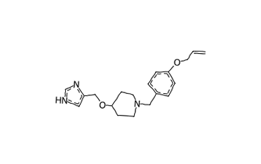 C=CCOc1ccc(CN2CCC(OCc3c[nH]cn3)CC2)cc1